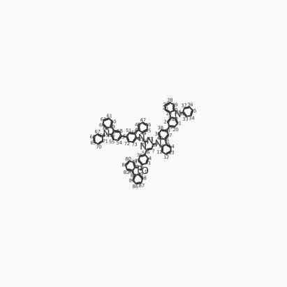 O=P1(c2ccc(-c3cc(-n4c5ccccc5c5cc(-c6ccc7c(c6)c6ccccc6n7-c6ccccc6)ccc54)nc(-n4c5ccccc5c5cc(-c6ccc7c(c6)c6ccccc6n7-c6ccccc6)ccc54)n3)cc2)c2ccccc2-c2ccccc21